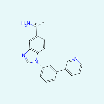 C[C@@H](N)c1ccc2c(c1)ncn2-c1cccc(-c2cccnc2)c1